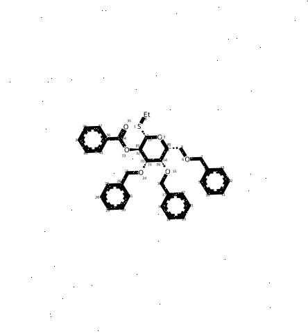 CCS[C@@H]1O[C@H](COCc2ccccc2)[C@H](OCc2ccccc2)[C@H](OCc2ccccc2)[C@H]1OC(=O)c1ccccc1